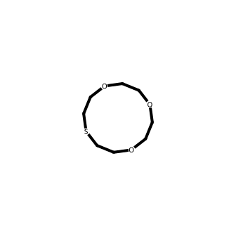 C1COCCSCCOCCO1